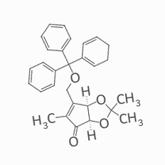 CC1=C(COC(C2=CCCC=C2)(c2ccccc2)c2ccccc2)[C@H]2OC(C)(C)O[C@H]2C1=O